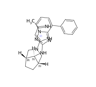 CC(=N)/C=C(\S)N1C[C@H]2CC[C@@H](C1)[C@@H]2Nc1nc2c(-c3ccccc3)cccn2n1